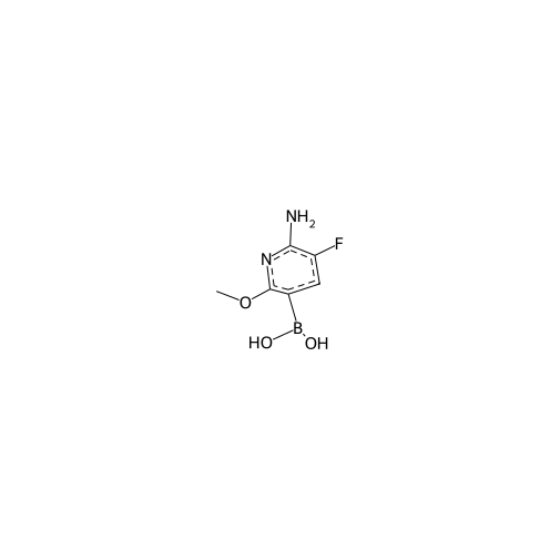 COc1nc(N)c(F)cc1B(O)O